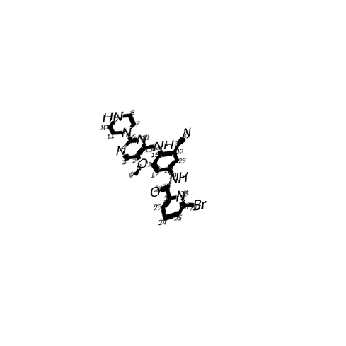 COc1cnc(N2CCNCC2)nc1Nc1ccc(NC(=O)c2cccc(Br)n2)cc1C#N